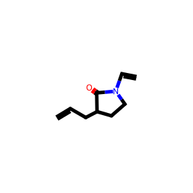 C=CCC1CCN(C=C)C1=O